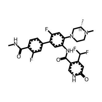 CNC(=O)c1ccc(-c2cc(NC(=O)c3c[nH]c(=O)cc3C(F)F)c(N3CCN(C)[C@@H](C)C3)cc2F)cc1F